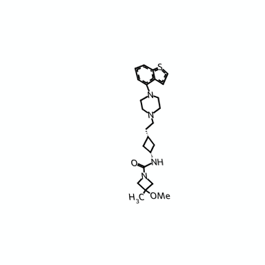 COC1(C)CN(C(=O)N[C@H]2C[C@@H](CCN3CCN(c4cccc5sccc45)CC3)C2)C1